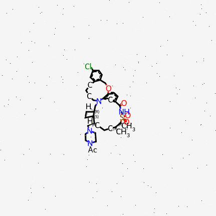 CC(=O)N1CCN(C[C@@H]2CCC[C@H](C)[C@@H](C)S(=O)(=O)NC(=O)c3ccc4c(c3)N(CCCCc3cc(Cl)ccc3CO4)C[C@@H]3CC[C@@H]23)CC1